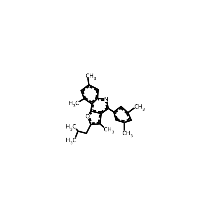 Cc1cc(C)cc(-c2nc3cc(C)cc(C)c3c3oc(CC(C)C)c(C)c23)c1